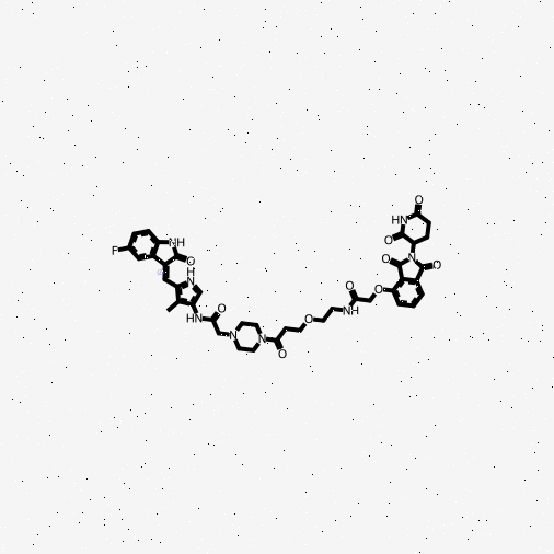 Cc1c(NC(=O)CN2CCN(C(=O)CCOCCNC(=O)COc3cccc4c3C(=O)N(C3CCC(=O)NC3=O)C4=O)CC2)c[nH]c1/C=C1\C(=O)Nc2ccc(F)cc21